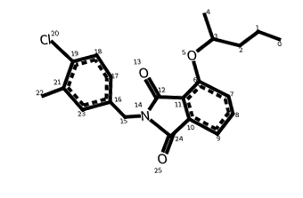 CCCC(C)Oc1cccc2c1C(=O)N(Cc1ccc(Cl)c(C)c1)C2=O